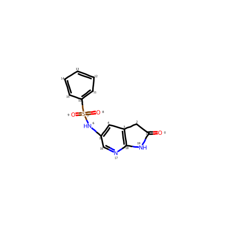 O=C1Cc2cc(NS(=O)(=O)c3ccccc3)cnc2N1